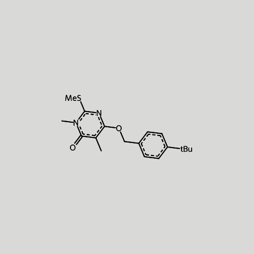 CSc1nc(OCc2ccc(C(C)(C)C)cc2)c(C)c(=O)n1C